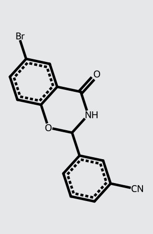 N#Cc1cccc(C2NC(=O)c3cc(Br)ccc3O2)c1